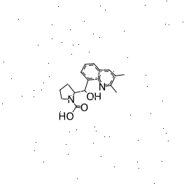 Cc1cc2cccc(C(O)C3CCCN3C(=O)O)c2nc1C